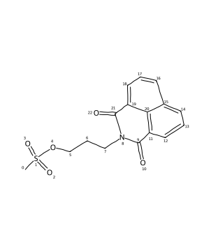 CS(=O)(=O)OCCCN1C(=O)c2cccc3cccc(c23)C1=O